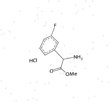 COC(=O)C(N)c1cccc(F)c1.Cl